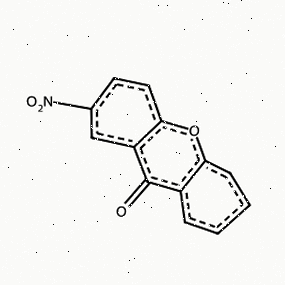 O=c1c2ccccc2oc2ccc([N+](=O)[O-])cc12